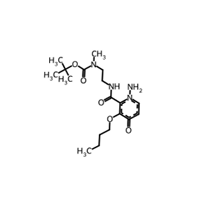 CCCCOc1c(C(=O)NCCN(C)C(=O)OC(C)(C)C)n(N)ccc1=O